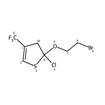 FC(F)(F)C1=CSC(Cl)(OCCBr)C1